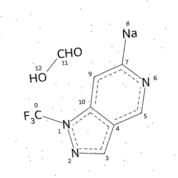 FC(F)(F)n1ncc2cn[c]([Na])cc21.O=CO